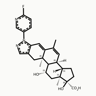 CC1=C[C@@H]2C([C@@H](O)C[C@@]3(C)[C@H]2CC[C@]3(O)C(=O)O)[C@@]2(C)Cc3cnn(-c4ccc(F)nc4)c3C=C12